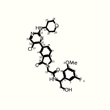 COc1cc(F)cc(C(CO)NC(=O)CN2Cc3ccc(-c4nc(NC5CCOCC5)ncc4Cl)cc3C2=O)c1